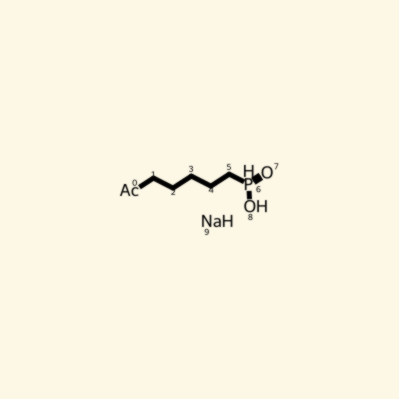 CC(=O)CCCCC[PH](=O)O.[NaH]